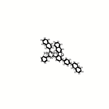 c1ccc(C2=NC(c3ccc(-c4ccc(-c5ccc6ccccc6c5)cc4)c4oc5cc6ccccc6cc5c34)NC(c3ccc4ccccc4c3)N2)cc1